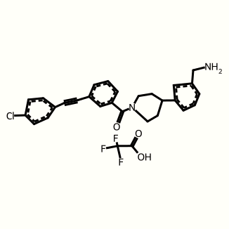 NCc1cccc(C2CCN(C(=O)c3cccc(C#Cc4ccc(Cl)cc4)c3)CC2)c1.O=C(O)C(F)(F)F